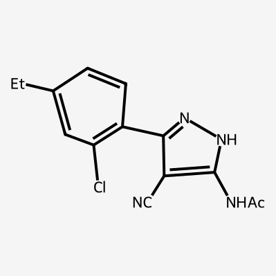 CCc1ccc(-c2n[nH]c(NC(C)=O)c2C#N)c(Cl)c1